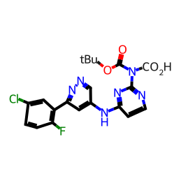 CC(C)(C)OC(=O)N(C(=O)O)c1nccc(Nc2cnnc(-c3cc(Cl)ccc3F)c2)n1